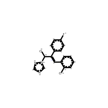 Fc1ccc(/C(=C\c2ccccc2Cl)C(Cl)n2cncn2)cc1